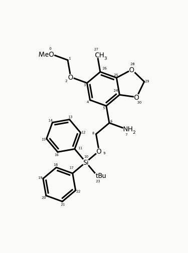 COCOc1cc(C(N)CO[Si](c2ccccc2)(c2ccccc2)C(C)(C)C)c2c(c1C)OCO2